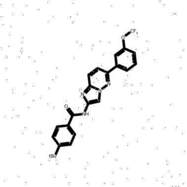 CC(C)(C)c1ccc(C(=O)Nc2cn3nc(-c4cccc(OC(F)(F)F)c4)ccc3n2)cc1